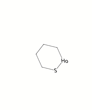 C1C[CH2][Ho][S]C1